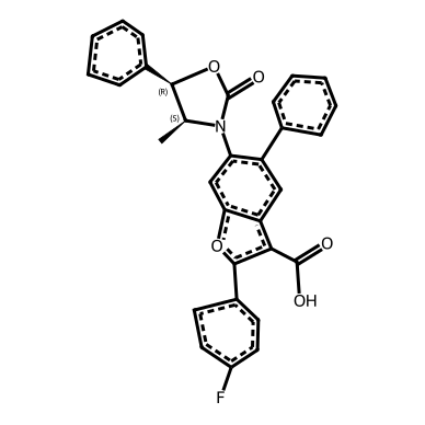 C[C@H]1[C@@H](c2ccccc2)OC(=O)N1c1cc2oc(-c3ccc(F)cc3)c(C(=O)O)c2cc1-c1ccccc1